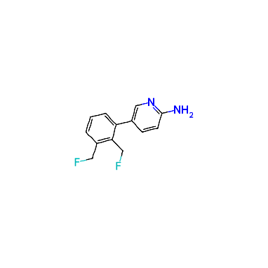 Nc1ccc(-c2cccc(CF)c2CF)cn1